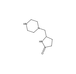 O=C1CCC(CN2CCNCC2)N1